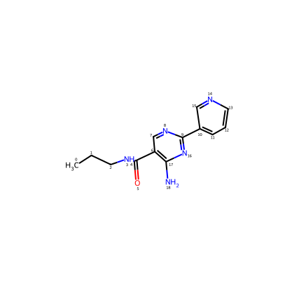 CCCNC(=O)c1cnc(-c2cccnc2)nc1N